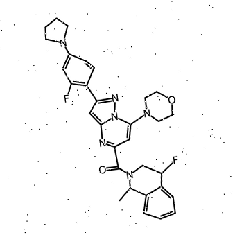 CC1c2ccccc2C(F)CN1C(=O)c1cc(N2CCOCC2)n2nc(-c3ccc(N4CCCC4)cc3F)cc2n1